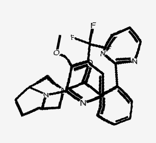 COc1c(C(F)(F)F)ccnc1N1C2CCC1CN(C(=O)c1ccccc1-c1ncccn1)C2